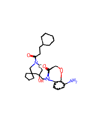 Nc1cccc2c1OCC(=O)N2CC1(O)CCN(C(=O)CCC2CCCCC2)CC12CCCC2